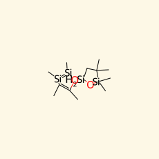 CC1(C)C[SiH2]O[Si]1(C)C.Cc1o[si](C)[si](C)c1C